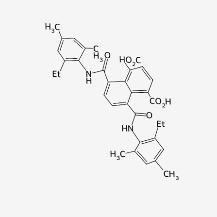 CCc1cc(C)cc(C)c1NC(=O)c1ccc(C(=O)Nc2c(C)cc(C)cc2CC)c2c(C(=O)O)ccc(C(=O)O)c12